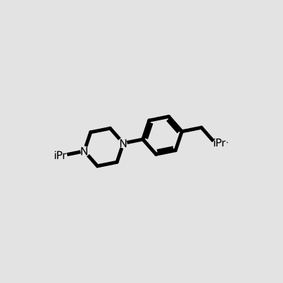 C[C](C)Cc1ccc(N2CCN(C(C)C)CC2)cc1